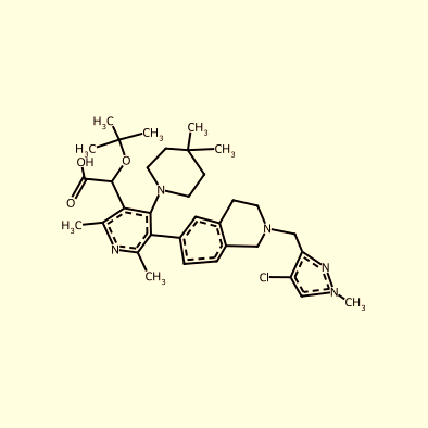 Cc1nc(C)c(C(OC(C)(C)C)C(=O)O)c(N2CCC(C)(C)CC2)c1-c1ccc2c(c1)CCN(Cc1nn(C)cc1Cl)C2